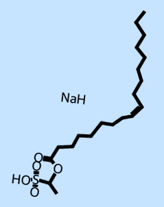 CCCCCCCC/C=C\CCCCCCCC(=O)OC(C)S(=O)(=O)O.[NaH]